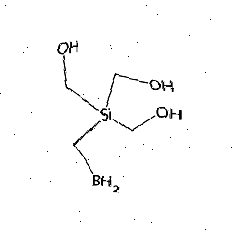 BC[Si](CO)(CO)CO